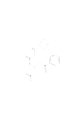 CC(=O)SC(CC(=O)c1ccccc1)C(C)C(=O)OC(=O)[C@@H]1CCCN1